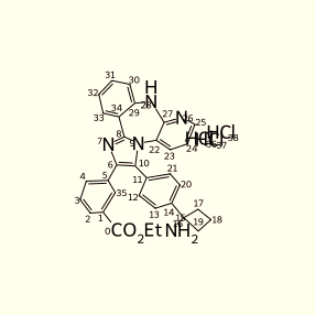 CCOC(=O)c1cccc(-c2nc3n(c2-c2ccc(C4(N)CCC4)cc2)-c2cccnc2Nc2ccccc2-3)c1.Cl.Cl.Cl